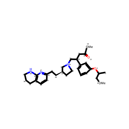 COCC(C)Oc1cccc(C(CC(=O)OC)CN2CC[C@@H](CCc3ccc4c(n3)NCCC4)C2)c1